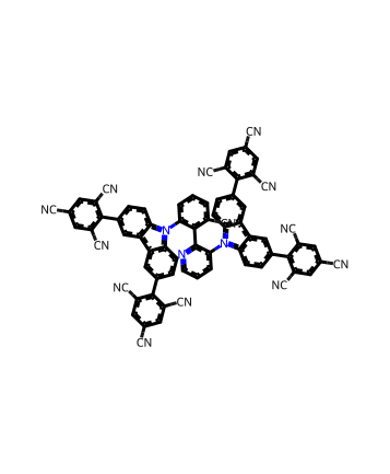 N#Cc1cc(C#N)c(-c2ccc3c(c2)c2cc(-c4c(C#N)cc(C#N)cc4C#N)ccc2n3-c2cccnc2-c2c(C#N)cccc2-n2c3ccc(-c4c(C#N)cc(C#N)cc4C#N)cc3c3cc(-c4c(C#N)cc(C#N)cc4C#N)ccc32)c(C#N)c1